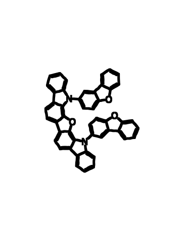 c1ccc2c(c1)oc1ccc(-n3c4ccccc4c4ccc5c6ccc7c8ccccc8n(-c8ccc9oc%10ccccc%10c9c8)c7c6oc5c43)cc12